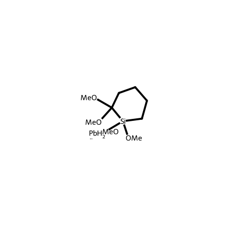 COC1(OC)CCCC[Si]1(OC)OC.[PbH2]